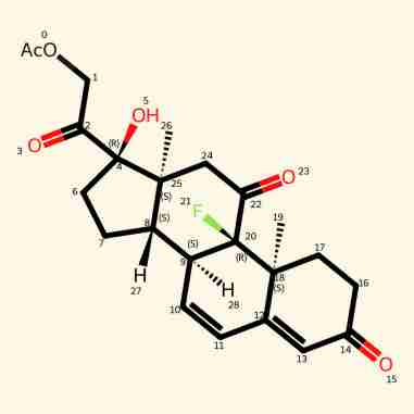 CC(=O)OCC(=O)[C@@]1(O)CC[C@H]2[C@@H]3C=CC4=CC(=O)CC[C@]4(C)[C@@]3(F)C(=O)C[C@@]21C